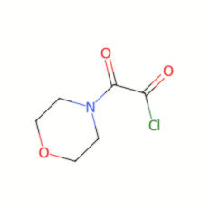 O=C(Cl)C(=O)N1CCOCC1